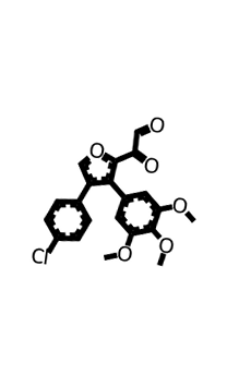 COc1cc(-c2c(-c3ccc(Cl)cc3)coc2C(=O)C=O)cc(OC)c1OC